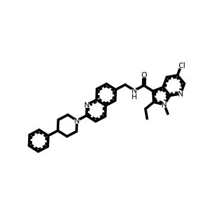 CCc1c(C(=O)NCc2ccc3nc(N4CCC(c5ccccc5)CC4)ccc3c2)c2cc(Cl)cnc2n1C